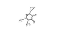 Cc1nc(C2CC2)c(F)c(Br)c1C